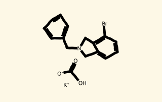 Brc1cccc2c1CN(Cc1ccccc1)C2.O=C([O-])O.[K+]